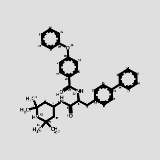 CC1(C)CC(NC(=O)C(Cc2ccc(-c3ccccc3)cc2)NC(=O)c2ccc(Oc3ccccc3)cc2)CC(C)(C)N1